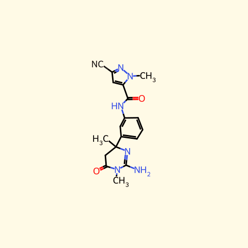 CN1C(=O)CC(C)(c2cccc(NC(=O)c3cc(C#N)nn3C)c2)N=C1N